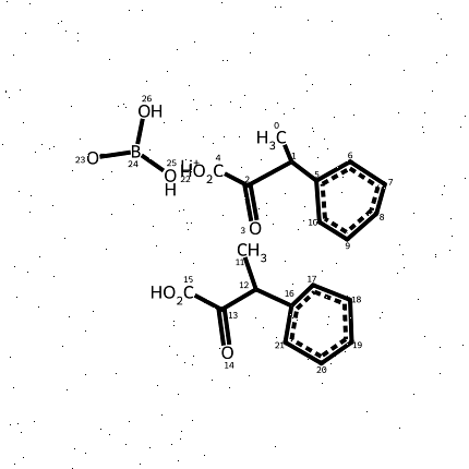 CC(C(=O)C(=O)O)c1ccccc1.CC(C(=O)C(=O)O)c1ccccc1.[Li+].[O-]B(O)O